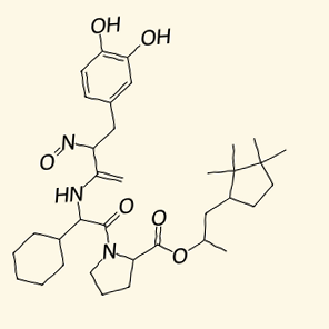 C=C(NC(C(=O)N1CCCC1C(=O)OC(C)CC1CCC(C)(C)C1(C)C)C1CCCCC1)C(Cc1ccc(O)c(O)c1)N=O